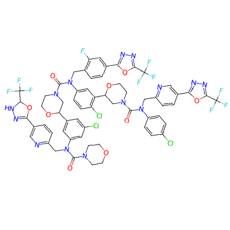 O=C(N1CCOCC1)N(Cc1ccc(C2=NNC(C(F)(F)F)O2)cn1)c1cc(Cl)cc(C2CN(C(=O)N(Cc3ccc(-c4nnc(C(F)(F)F)o4)cc3F)c3ccc(Cl)c(C4CN(C(=O)N(Cc5ccc(-c6nnc(C(F)(F)F)o6)cn5)c5ccc(Cl)cc5)CCO4)c3)CCO2)c1